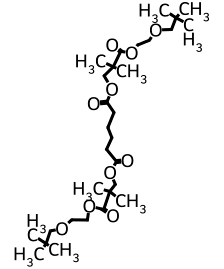 CC(C)(C)COCCOC(=O)C(C)(C)COC(=O)CCCCC(=O)OCC(C)(C)C(=O)OCCOCC(C)(C)C